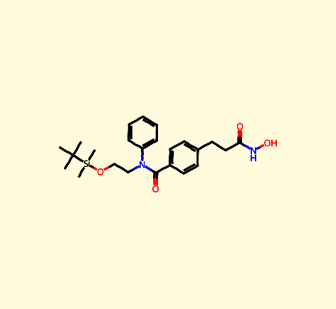 CC(C)(C)[Si](C)(C)OCCN(C(=O)c1ccc(CCC(=O)NO)cc1)c1ccccc1